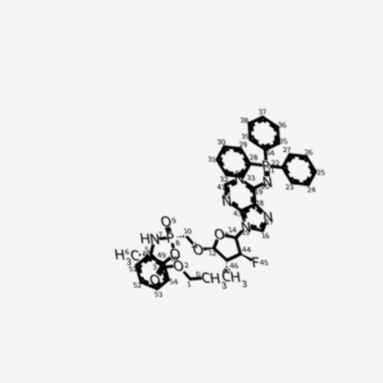 CCOC(=O)[C@H](C)N[P@](=O)(CO[C@H]1OC(n2cnc3c(N=P(c4ccccc4)(c4ccccc4)c4ccccc4)ncnc32)[C@@H](F)[C@@H]1C)Oc1ccccc1